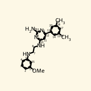 COc1cccc(NCCNc2cc(-c3cc(C)cc(C)c3)nc(N)n2)c1